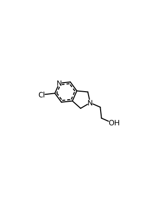 OCCN1Cc2cnc(Cl)cc2C1